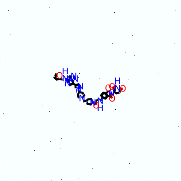 O=C1CCC(N2C(=O)c3ccc(NCC(=O)N4CCC(CN5CCC(n6cc(-c7cnc(NCc8ccco8)n8cnnc78)cn6)CC5)CC4)cc3C2=O)C(=O)N1